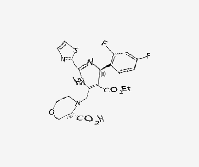 CCOC(=O)C1=C(CN2CCOC[C@H]2C(=O)O)NC(c2nccs2)=N[C@H]1c1ccc(F)cc1F